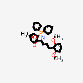 CCOC(=O)/C(=C/C=C/c1c(OC)cccc1OC)N=P(c1ccccc1)(c1ccccc1)c1ccccc1